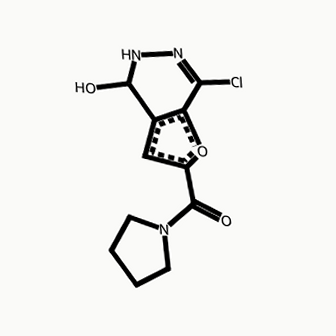 O=C(c1cc2c(o1)C(Cl)=NNC2O)N1CCCC1